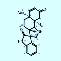 CO[C@]12C=CC(=O)C[C@H]1C1NC[C@@]3(C(=O)Nc4ccccc43)[C@@H]1CC2